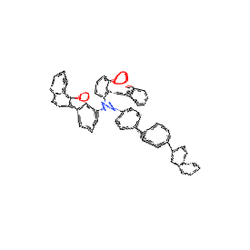 c1ccc2cc(-c3ccc(-c4ccc(N(c5cccc6c5oc5c7ccccc7ccc65)c5cccc6oc7ccccc7c56)cc4)cc3)ccc2c1